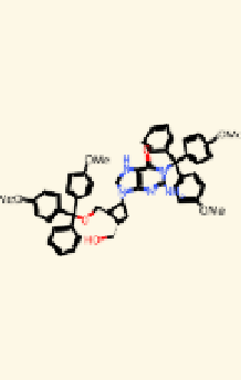 COc1ccc(C(OC[C@@H]2[C@@H](CO)C[C@H]2N2CNc3c2nc(N)n(C(c2ccccc2)(c2ccc(OC)cc2)c2ccc(OC)cc2)c3=O)(c2ccccc2)c2ccc(OC)cc2)cc1